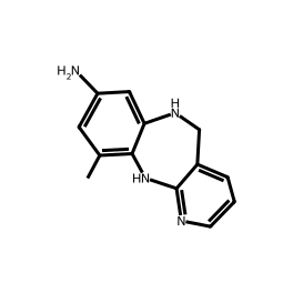 Cc1cc(N)cc2c1Nc1ncccc1CN2